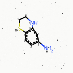 Nc1ccc2c(c1)NCCS2